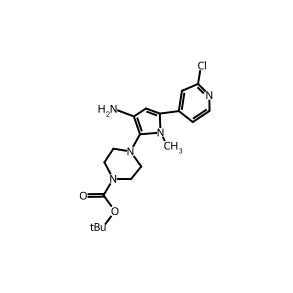 Cn1c(-c2ccnc(Cl)c2)cc(N)c1N1CCN(C(=O)OC(C)(C)C)CC1